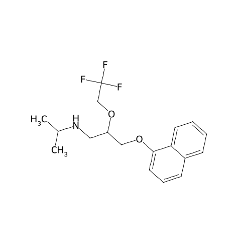 CC(C)NCC(COc1cccc2ccccc12)OCC(F)(F)F